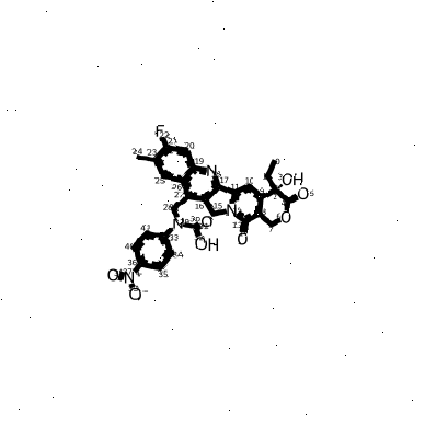 CC[C@@]1(O)C(=O)OCc2c1cc1n(c2=O)Cc2c-1nc1cc(F)c(C)cc1c2CN(C(=O)O)c1ccc([N+](=O)[O-])cc1